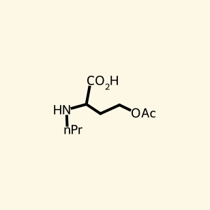 CCCNC(CCOC(C)=O)C(=O)O